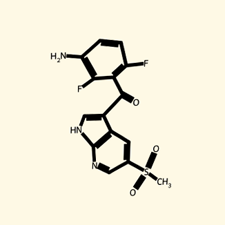 CS(=O)(=O)c1cnc2[nH]cc(C(=O)c3c(F)ccc(N)c3F)c2c1